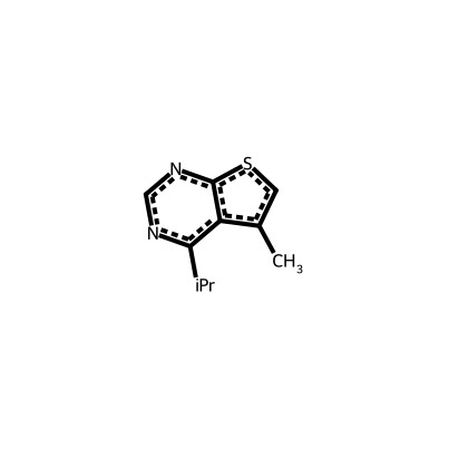 Cc1csc2ncnc(C(C)C)c12